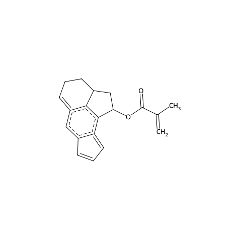 C=C(C)C(=O)OC1CC2CCC=c3cc4c(c1c32)=CC=C4